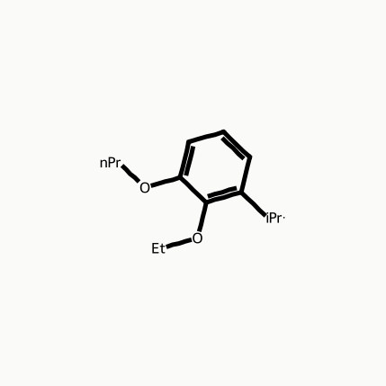 CCCOc1cccc([C](C)C)c1OCC